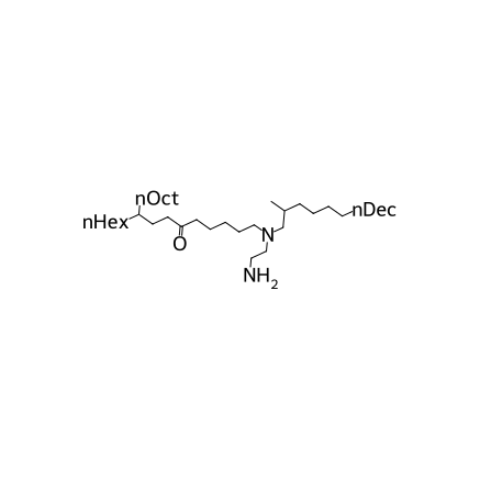 CCCCCCCCCCCCCCC(C)CN(CCN)CCCCCC(=O)CCC(CCCCCC)CCCCCCCC